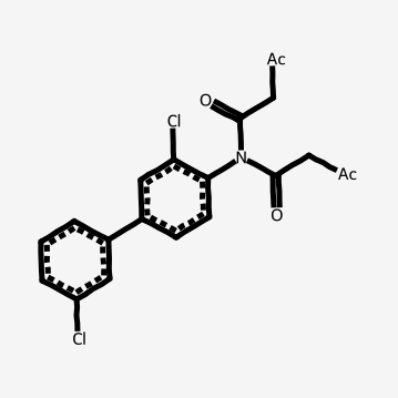 CC(=O)CC(=O)N(C(=O)CC(C)=O)c1ccc(-c2cccc(Cl)c2)cc1Cl